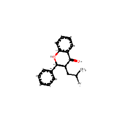 CC(=O)C(C)CC1C(=O)c2ccccc2OC1c1ccccc1